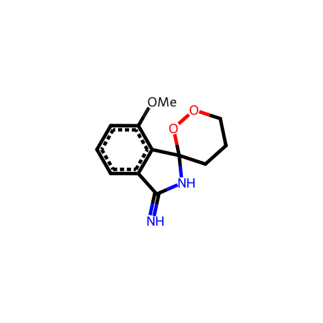 COc1cccc2c1C1(CCCOO1)NC2=N